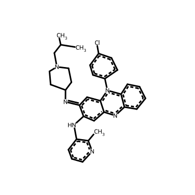 Cc1ncccc1Nc1cc2nc3ccccc3n(-c3ccc(Cl)cc3)c-2c/c1=N\C1CCN(CC(C)C)CC1